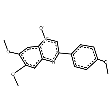 COc1ccc(-c2c[n+]([O-])c3cc(OC)c(OC)cc3n2)cc1